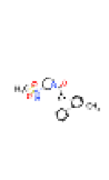 Cc1ccc([C@@H]2C[C@H]2C(=O)N2CCC[C@@H](NS(C)(=O)=O)C2)c(-c2ccccc2)c1